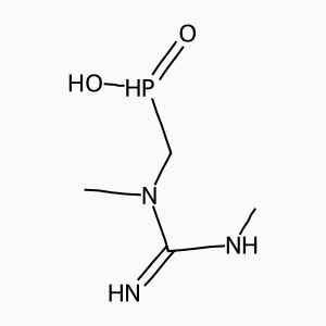 CNC(=N)N(C)C[PH](=O)O